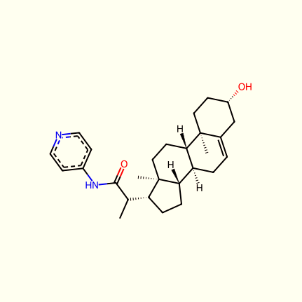 CC(C(=O)Nc1ccncc1)[C@H]1CC[C@H]2[C@@H]3CC=C4C[C@@H](O)CC[C@]4(C)[C@H]3CC[C@]12C